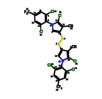 N#Cc1c(SSc2cn(-c3c(Cl)cc(C(F)(F)F)cc3Cl)c(Cl)c2C#N)cn(-c2c(Cl)cc(C(F)(F)F)cc2Cl)c1Cl